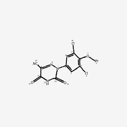 CC(C)Oc1c(Cl)cc(-n2nc(C#N)c(=O)[nH]c2=O)cc1Cl